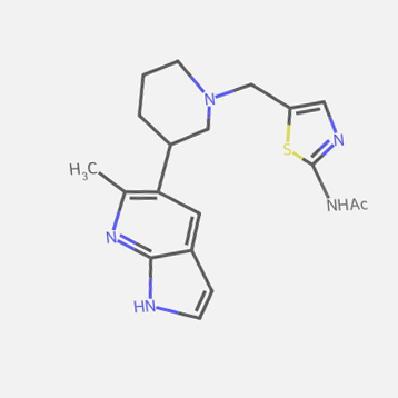 CC(=O)Nc1ncc(CN2CCCC(c3cc4cc[nH]c4nc3C)C2)s1